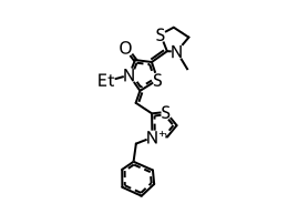 CCn1c(=O)/c(=C2\SCCN2C)s/c1=C\c1scc[n+]1Cc1ccccc1